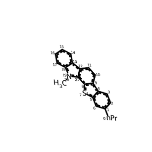 CCCc1ccc2c(c1)sc1c2ccc2c3ccccc3n(C)c21